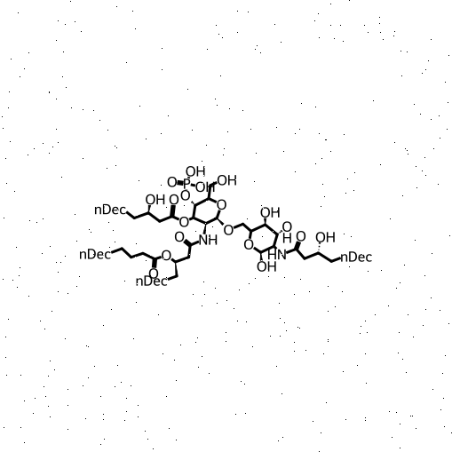 CCCCCCCCCCCCCC(=O)O[C@H](CCCCCCCCCCC)CC(=O)N[C@H]1C(OC(=O)C[C@H](O)CCCCCCCCCCC)[C@H](OP(=O)(O)O)C(CO)O[C@H]1OCC1O[C@H](O)C(NC(=O)C[C@H](O)CCCCCCCCCCC)[C@@H](O)[C@@H]1O